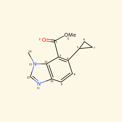 COC(=O)c1c(C2CC2)ccc2ncn(C)c12